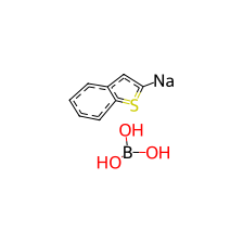 OB(O)O.[Na][c]1cc2ccccc2s1